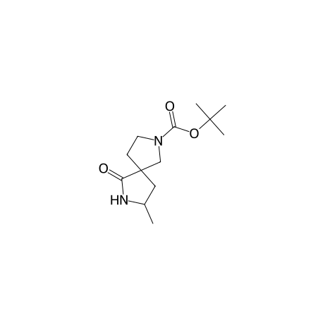 CC1CC2(CCN(C(=O)OC(C)(C)C)C2)C(=O)N1